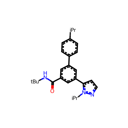 CC(C)c1ccc(-c2cc(C(=O)NC(C)(C)C)cc(-c3ccnn3C(C)C)c2)cc1